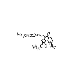 CC(=O)N1CCC(C(=O)N(CCCN2CC3CN(C(=O)O)CC3C2)c2ccc(C)c(Cl)c2)CC1